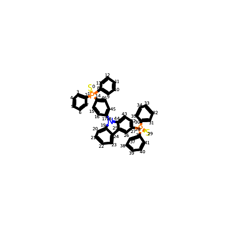 S=P(c1ccccc1)(c1ccccc1)c1ccc(-n2c3ccccc3c3cc(P(=S)(c4ccccc4)c4ccccc4)ccc32)cc1